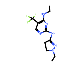 CCNc1nc(NC2=NN(CC)CC2)ncc1C(F)(F)F